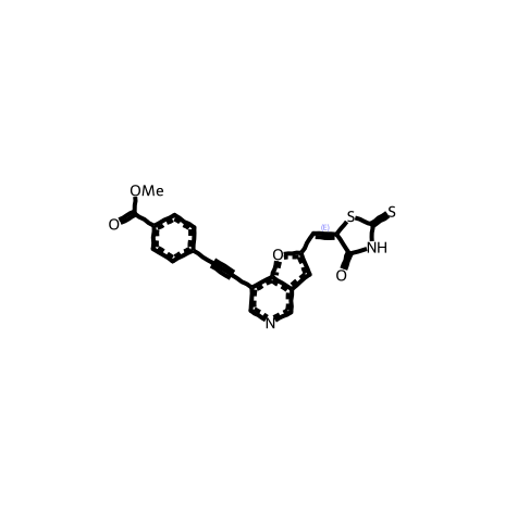 COC(=O)c1ccc(C#Cc2cncc3cc(/C=C4/SC(=S)NC4=O)oc23)cc1